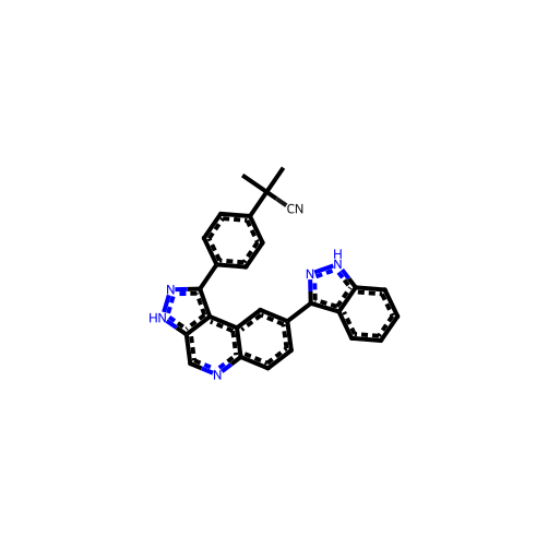 CC(C)(C#N)c1ccc(-c2n[nH]c3cnc4ccc(-c5n[nH]c6ccccc56)cc4c23)cc1